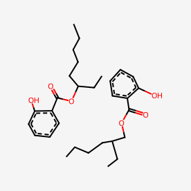 CCCCC(CC)COC(=O)c1ccccc1O.CCCCCC(CC)OC(=O)c1ccccc1O